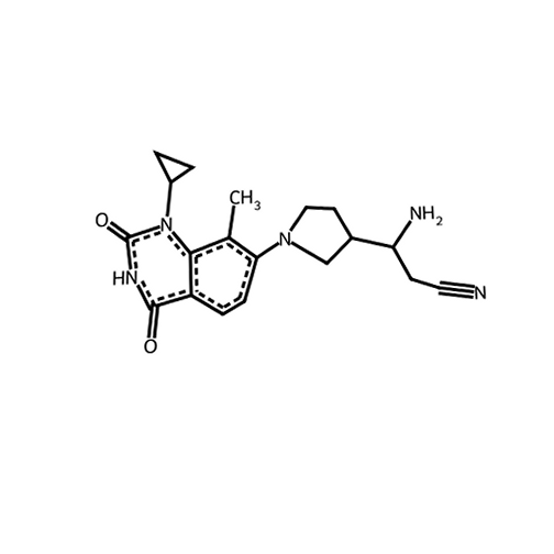 Cc1c(N2CCC(C(N)CC#N)C2)ccc2c(=O)[nH]c(=O)n(C3CC3)c12